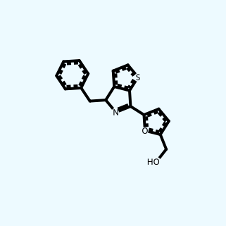 OCc1ccc(C2=NC(Cc3ccccc3)c3ccsc32)o1